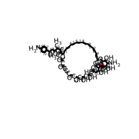 CC1/C=C/C=C/C=C/C=C/C=C/C=C/C=C/C(OC2OC(C)C(O)C(N)C2O)CC2(C)OC(O)(CC(O)CC(O)CC(O)CC(=O)CCCC(=O)CC(=O)OC1C(C)CC(C)C(O)CC(=O)c1ccc(N)cc1)CC(O)C2C(=O)O